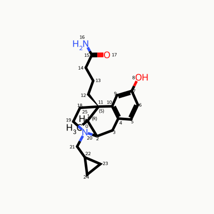 C[C@H]1C2Cc3ccc(O)cc3[C@@]1(CCCC(N)=O)CCN2CC1CC1